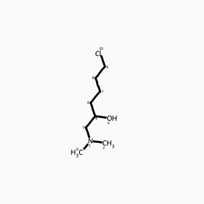 CN(C)CC(O)CCCCCl